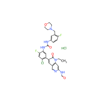 CCn1c(=O)c(-c2cc(NC(=O)Nc3ccc(F)c(CN4CCOCC4)c3)c(F)cc2Cl)cc2cnc(NC=O)cc21.Cl